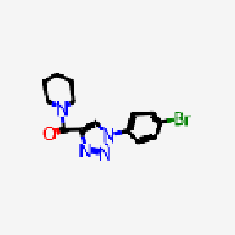 O=C(c1cn(-c2ccc(Br)cc2)nn1)N1CCCCC1